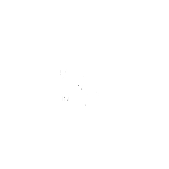 C=CC(c1ccccc1)N1CNCSC1=S